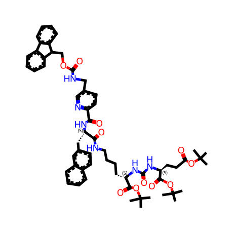 CC(C)(C)OC(=O)CC[C@H](NC(=O)N[C@@H](CCCCNC(=O)[C@H](Cc1ccc2ccccc2c1)NC(=O)c1ccc(CNC(=O)OCC2c3ccccc3-c3ccccc32)cn1)C(=O)OC(C)(C)C)C(=O)OC(C)(C)C